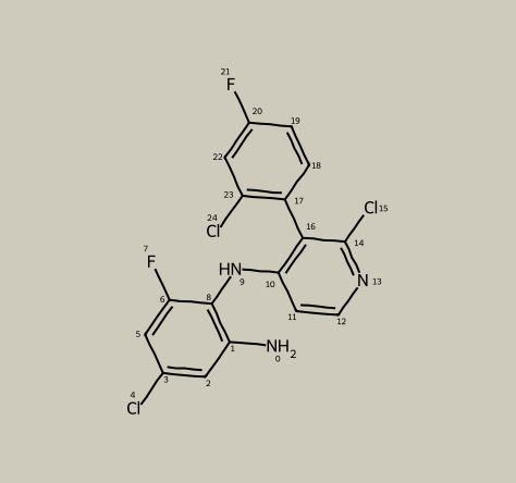 Nc1cc(Cl)cc(F)c1Nc1ccnc(Cl)c1-c1ccc(F)cc1Cl